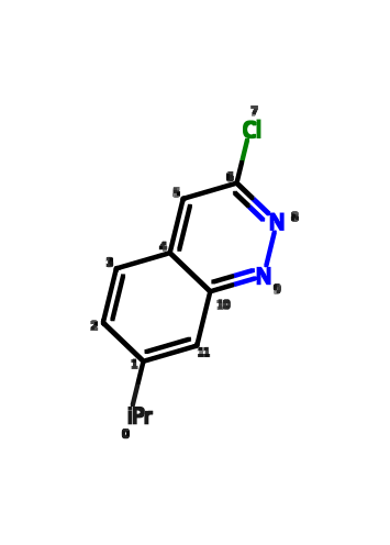 CC(C)c1ccc2cc(Cl)nnc2c1